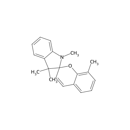 Cc1cccc2c1OC1(C=C2)N(C)c2ccccc2C1(C)C